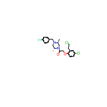 C[C@@H]1CN(Cc2ccc(F)cc2)[C@@H](C)CN1C(=O)COc1ccc(Cl)cc1CCCl